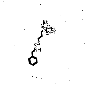 CCO[Si](CCCSSNCc1ccccc1)(OCC)OCC